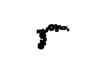 CCOC(=O)OC1CCN(CCc2c[nH]c3ccc(Oc4nc5ccccc5s4)cc23)CC1